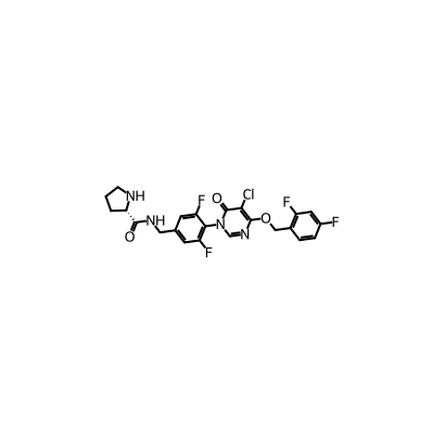 O=C(NCc1cc(F)c(-n2cnc(OCc3ccc(F)cc3F)c(Cl)c2=O)c(F)c1)[C@@H]1CCCN1